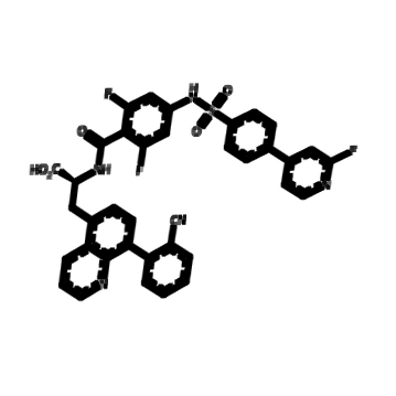 N#Cc1ccccc1-c1ccc(C[C@H](NC(=O)c2c(F)cc(NS(=O)(=O)c3ccc(-c4ccnc(F)c4)cc3)cc2F)C(=O)O)c2cccnc12